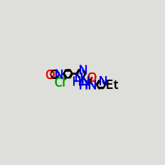 CCc1ccc(NC(=O)Nc2cncc(-c3ccc(N4CCOCC4)c(Cl)c3)n2)cn1